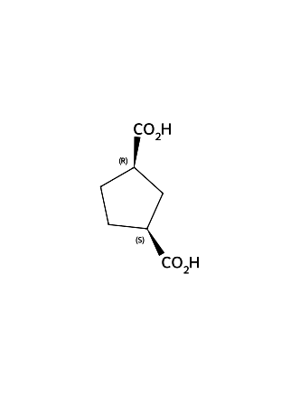 O=C(O)[C@@H]1CC[C@H](C(=O)O)C1